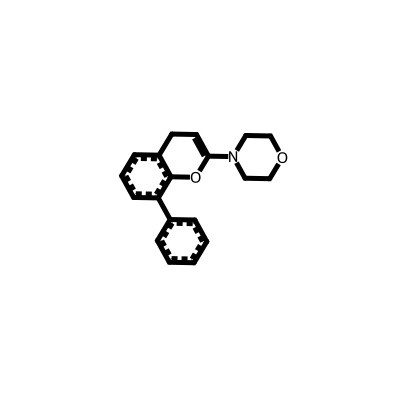 C1=C(N2CCOCC2)Oc2c(cccc2-c2ccccc2)C1